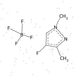 Cc1nn(C)cc1F.F[B-](F)(F)F